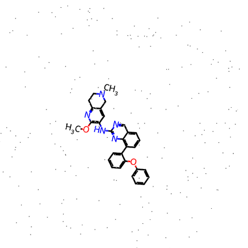 COc1nc2c(cc1Nc1ncc3cccc(-c4ccccc4Oc4ccccc4)c3n1)CN(C)CC2